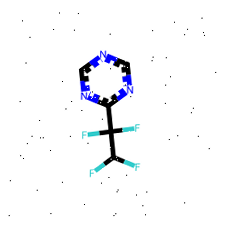 FC(F)C(F)(F)c1ncncn1